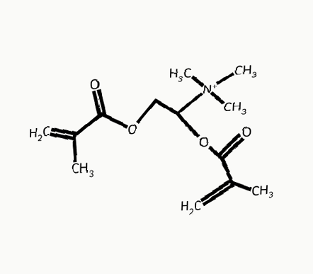 C=C(C)C(=O)OCC(OC(=O)C(=C)C)[N+](C)(C)C